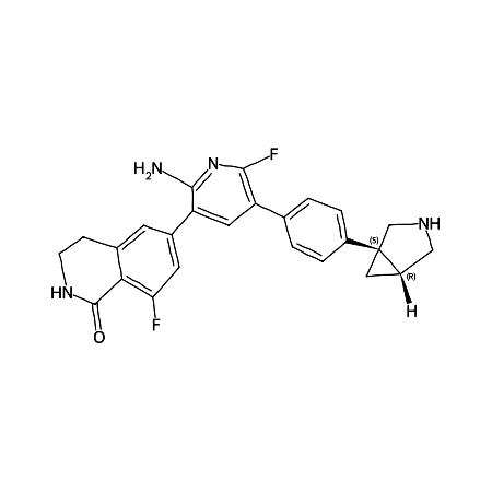 Nc1nc(F)c(-c2ccc([C@@]34CNC[C@@H]3C4)cc2)cc1-c1cc(F)c2c(c1)CCNC2=O